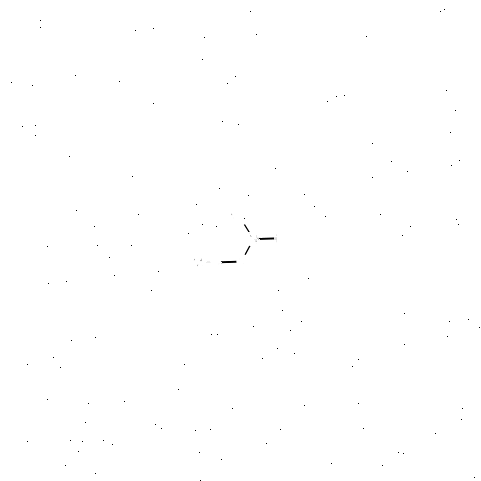 CCN(SSC)C(C)=O